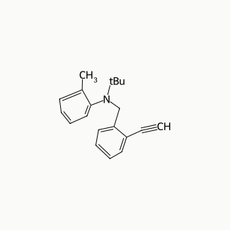 C#Cc1ccccc1CN(c1ccccc1C)C(C)(C)C